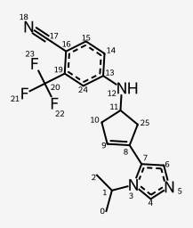 CC(C)n1cncc1C1=CCC(Nc2ccc(C#N)c(C(F)(F)F)c2)C1